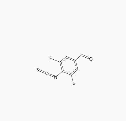 O=Cc1cc(F)c(N=C=S)c(F)c1